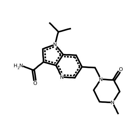 CC(C)n1cc(C(N)=O)c2ncc(CN3CCN(C)CC3=O)cc21